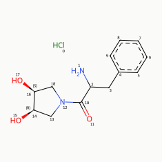 Cl.NC(Cc1ccccc1)C(=O)N1C[C@@H](O)[C@@H](O)C1